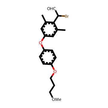 COCCCOc1ccc(Oc2cc(C)c(C(Br)C=O)c(C)c2)cc1